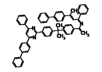 C=C(/N=C(\C=C(/C)c1ccc(-c2ccccc2)cc1)c1ccccc1)c1ccc(C(C)(C)c2ccc(-c3nc(-c4ccccc4)cc(-c4ccc(-c5ccccc5)cc4)n3)cc2)cc1